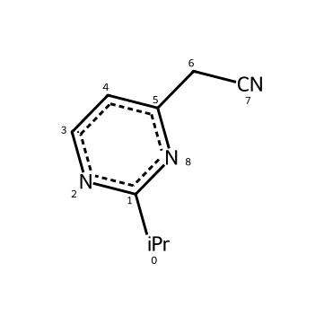 CC(C)c1n[c]cc(CC#N)n1